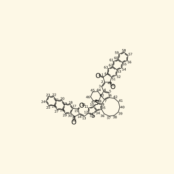 O=C1C(=CC2=CC3=C(c4sc5cc(C=C6C(=O)c7cc8cc9ccccc9cc8cc7C6=O)sc5c4CCCCCCC3)C23CCCCC3)C(=O)c2cc3cc4ccccc4cc3cc21